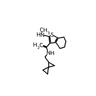 C=C(NCC1CC12CC2)c1c(NC)sc2c1CCCC2